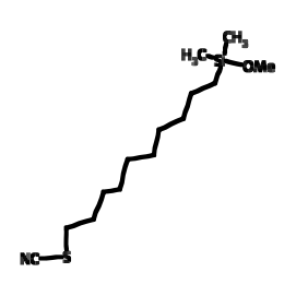 CO[Si](C)(C)CCCCCCCCCCSC#N